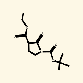 CCOC(=O)C1CCN(C(=O)OC(C)(C)C)C1=O